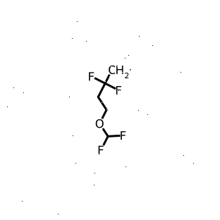 [CH2]C(F)(F)CCOC(F)F